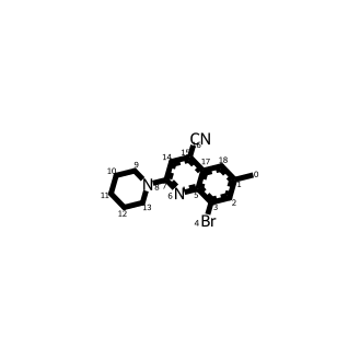 Cc1cc(Br)c2nc(N3CCCCC3)cc(C#N)c2c1